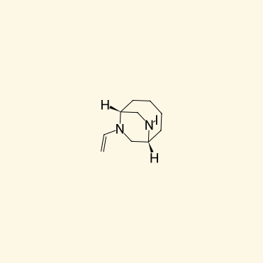 C=CN1C[C@H]2CCCC[C@@H]1CN2I